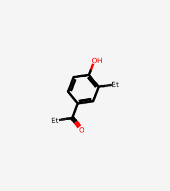 CCC(=O)c1ccc(O)c(CC)c1